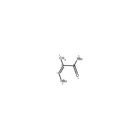 CCCCC=C(C)C(=O)C(C)(C)C